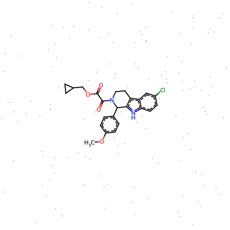 COc1ccc(C2c3[nH]c4ccc(Cl)cc4c3CCN2C(=O)C(=O)OCC2CC2)cc1